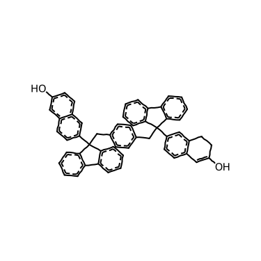 OC1=Cc2ccc(C3(Cc4ccc(CC5(c6ccc7cc(O)ccc7c6)c6ccccc6-c6ccccc65)cc4)c4ccccc4-c4ccccc43)cc2CC1